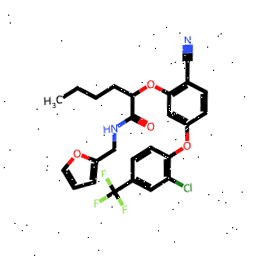 CCCCC(Oc1cc(Oc2ccc(C(F)(F)F)cc2Cl)ccc1C#N)C(=O)NCc1ccco1